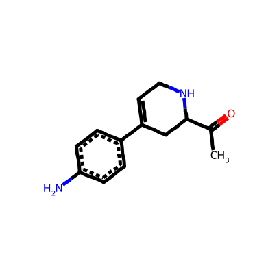 CC(=O)C1CC(c2ccc(N)cc2)=CCN1